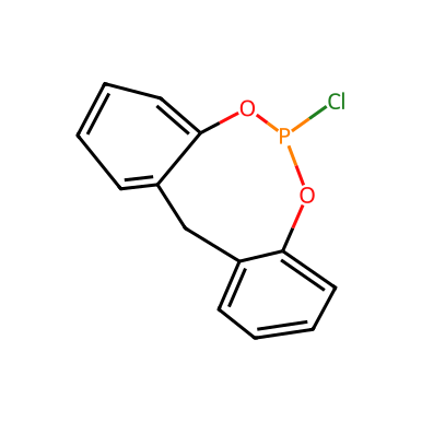 ClP1Oc2ccccc2Cc2ccccc2O1